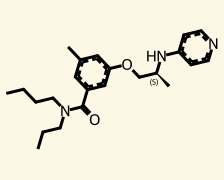 CCCCN(CCC)C(=O)c1cc(C)cc(OC[C@H](C)Nc2ccncc2)c1